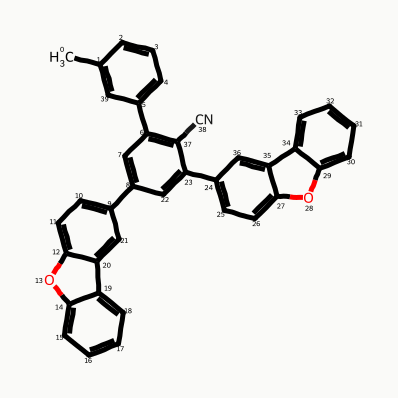 Cc1cccc(-c2cc(-c3ccc4oc5ccccc5c4c3)cc(-c3ccc4oc5ccccc5c4c3)c2C#N)c1